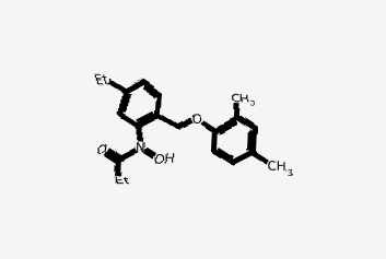 CCC(=O)N(O)c1cc(CC)ccc1COc1ccc(C)cc1C